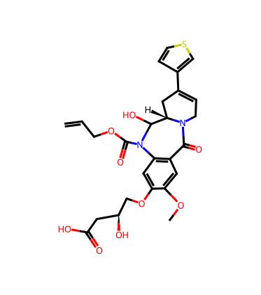 C=CCOC(=O)N1c2cc(OC[C@@H](O)CC(=O)O)c(OC)cc2C(=O)N2CC=C(c3ccsc3)C[C@H]2C1O